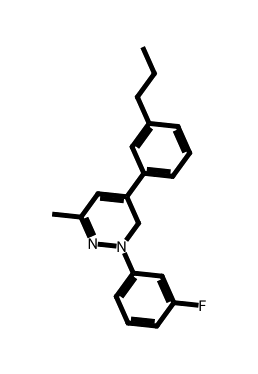 CCCc1cccc(C2=CC(C)=NN(c3cccc(F)c3)C2)c1